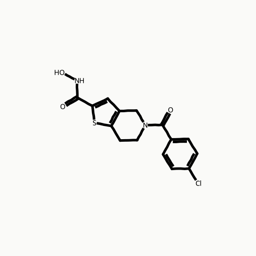 O=C(NO)c1cc2c(s1)CCN(C(=O)c1ccc(Cl)cc1)C2